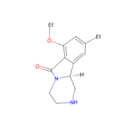 CCOc1cc(CC)cc2c1C(=O)N1CCNC[C@H]21